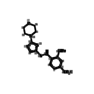 COc1cc(C(=O)O)ccc1NSc1csc(N2CCOCC2)n1